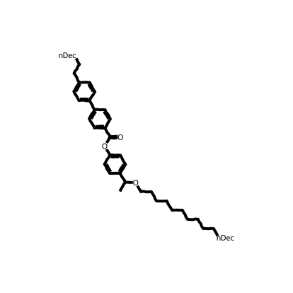 CCCCCCCCCCCCCCCCCCCCOC(C)c1ccc(OC(=O)c2ccc(-c3ccc(CCCCCCCCCCCC)cc3)cc2)cc1